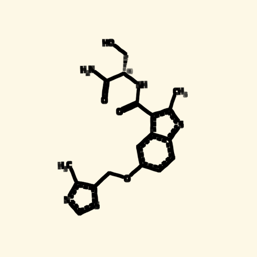 Cc1ncsc1COc1ccc2sc(C)c(C(=O)N[C@@H](CO)C(N)=O)c2c1